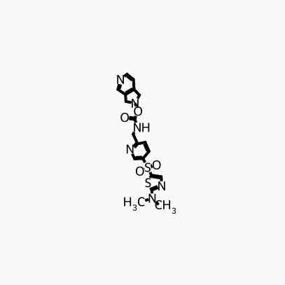 CN(C)c1ncc(S(=O)(=O)c2ccc(CNC(=O)ON3Cc4ccncc4C3)nc2)s1